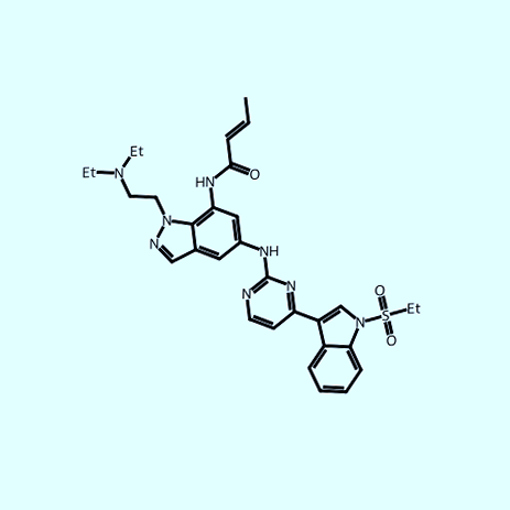 C/C=C/C(=O)Nc1cc(Nc2nccc(-c3cn(S(=O)(=O)CC)c4ccccc34)n2)cc2cnn(CCN(CC)CC)c12